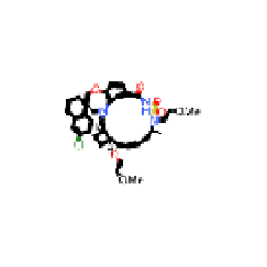 COCCO[C@H]1/C=C\C[C@H](C)N(CCOC)S(=O)(=O)NC(=O)c2ccc3c(c2)N(C[C@@H]2CC[C@H]21)C[C@@]1(CCCc2cc(Cl)ccc21)CO3